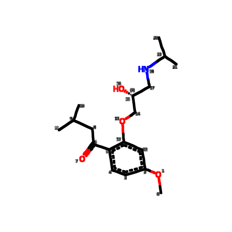 COc1ccc(C(=O)CC(C)C)c(OC[C@H](O)CNC(C)C)c1